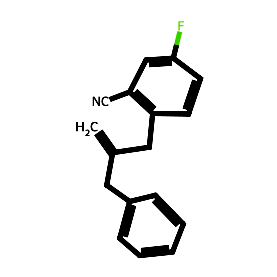 C=C(Cc1ccccc1)Cc1ccc(F)cc1C#N